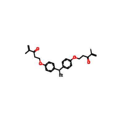 C=C(C)C(=O)CCOc1ccc(C(CC)c2ccc(OCCC(=O)C(=C)C)cc2)cc1